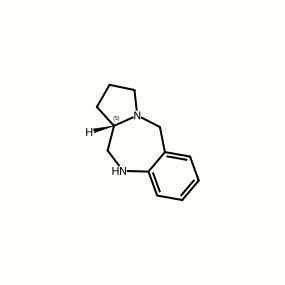 c1ccc2c(c1)CN1CCC[C@H]1CN2